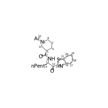 CCCCC[C@@H](NC(=O)[C@@H]1CCCN(C(C)=O)C1)C(=O)c1nc2ccccc2s1